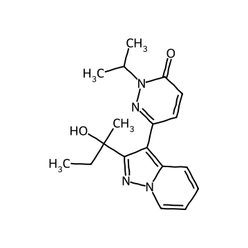 CCC(C)(O)c1nn2ccccc2c1-c1ccc(=O)n(C(C)C)n1